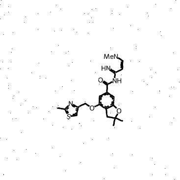 CN/C=C\C(=N)NC(=O)c1cc(OCc2csc(C)n2)c2c(c1)OC(C)(C)C2